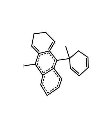 CC1(c2c3c(c(I)c4ccccc24)=CCCC=3)C=CC=CC1